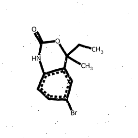 CCC1(C)OC(=O)Nc2ccc(Br)cc21